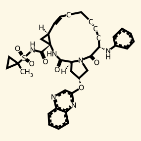 CC1(S(=O)(=O)NC(=O)[C@@]23C[C@H]2/C=C\CCCCC[C@H](Nc2ccccc2)C(=O)N2C[C@H](Oc4cnc5ccccc5n4)C[C@H]2C(=O)N3)CC1